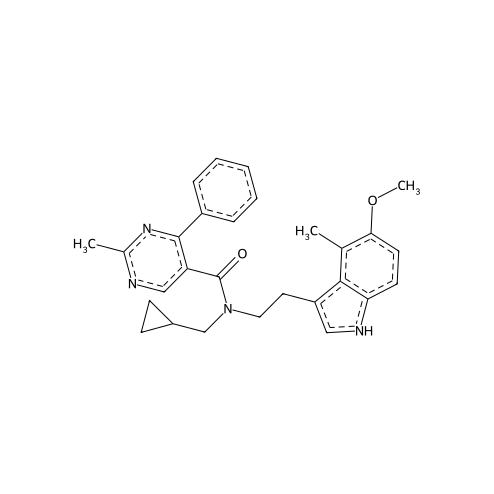 COc1ccc2[nH]cc(CCN(CC3CC3)C(=O)c3cnc(C)nc3-c3ccccc3)c2c1C